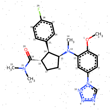 COc1ccc(-n2cnnn2)cc1N(C)[C@H]1CC[C@H](C(=O)N(C)C)[C@H]1c1ccc(F)cc1